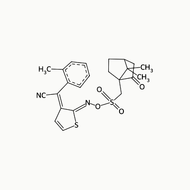 Cc1ccccc1/C(C#N)=C1/C=CSC1=NOS(=O)(=O)CC12CCC(CC1=O)C2(C)C